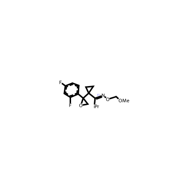 COCO/N=C(\C(C)C)C1(C2(c3ccc(F)cc3F)CO2)CC1